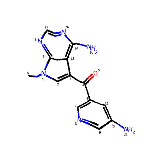 Cn1cc(C(=O)c2cncc(N)c2)c2c(N)ncnc21